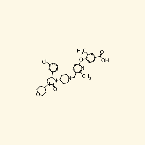 Cc1cc(C(=O)O)ccc1Oc1ccc(CN2CCC(N3C(=O)N(C4CCOCC4)C[C@H]3c3cccc(Cl)c3)CC2)c(C)n1